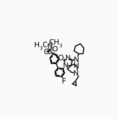 CN(C)S(=O)(=O)c1ccc(-c2ccc(F)cc2N2C(=O)N=C(NC3CCCCC3)C23CCN(CC2CC2)CC3)cc1